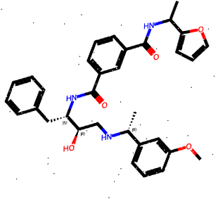 COc1cccc([C@@H](C)NC[C@@H](O)[C@H](Cc2ccccc2)NC(=O)c2cccc(C(=O)NC(C)c3ccco3)c2)c1